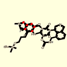 Cn1cc2c(CCCO[Si](C)(C)C(C)(C)C)c(Nc3nc(=O)n(-c4cncc5cccc(CNC(=O)OC(C)(C)C)c45)c(=O)n3Cc3cc(F)c(F)c(F)c3)c(Cl)cc2n1